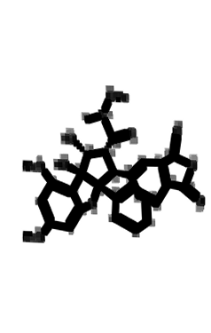 COc1cc(OC)c2c(c1)O[C@@]1(c3ccccc3)[C@H](c3ccc4c(c3)C(=O)OC4=O)[C@@H](C(=O)N(C)OC)[C@@H](O)[C@@]21O